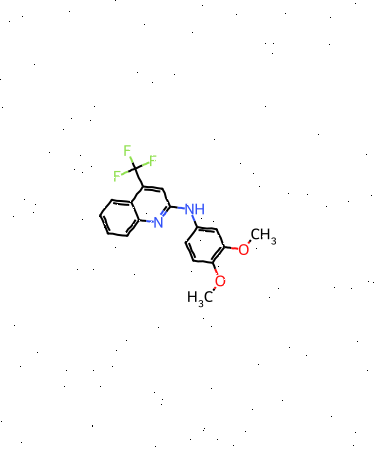 COc1ccc(Nc2cc(C(F)(F)F)c3ccccc3n2)cc1OC